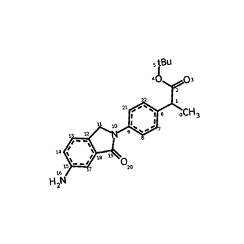 CC(C(=O)OC(C)(C)C)c1ccc(N2Cc3ccc(N)cc3C2=O)cc1